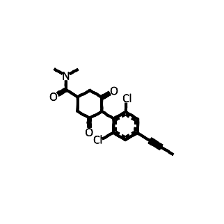 CC#Cc1cc(Cl)c(C2C(=O)CC(C(=O)N(C)C)CC2=O)c(Cl)c1